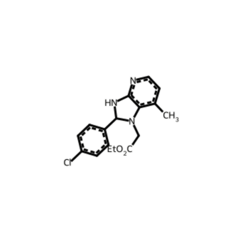 CCOC(=O)CN1c2c(C)ccnc2NC1c1ccc(Cl)cc1